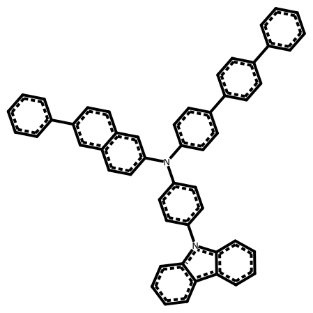 c1ccc(-c2ccc(-c3ccc(N(c4ccc(-n5c6ccccc6c6ccccc65)cc4)c4ccc5cc(-c6ccccc6)ccc5c4)cc3)cc2)cc1